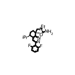 CCN(C[C@@]1(C)CC[C@H](C(C)C)c2cc(-c3c(F)cccc3F)nnc21)C(N)=O